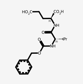 CC(C)[C@H](NC(=O)OCc1ccccc1)C(=O)N[C@@H](CCC(=O)O)C(=O)O